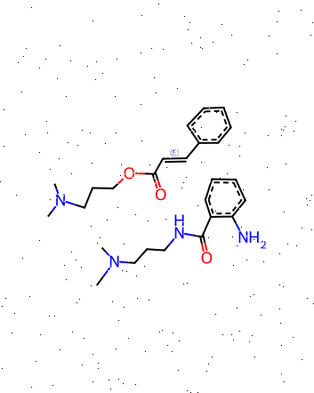 CN(C)CCCNC(=O)c1ccccc1N.CN(C)CCCOC(=O)/C=C/c1ccccc1